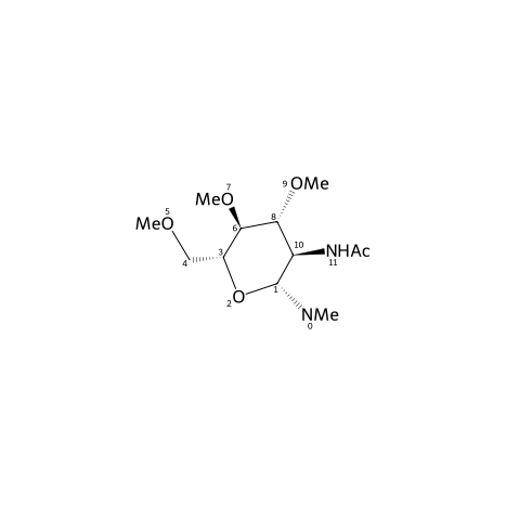 CN[C@@H]1O[C@H](COC)[C@@H](OC)[C@H](OC)[C@H]1NC(C)=O